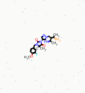 COc1ccc(CN2C(=O)N(c3cnn(C/C(C(C)=N)=C(\C)P)c3)C(=O)C2(C)C)cc1F